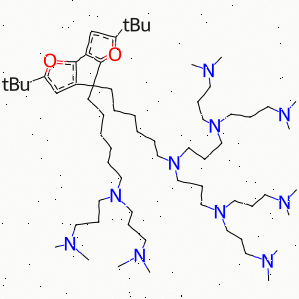 CN(C)CCCN(CCCCCCC1(CCCCCCN(CCCN(CCCN(C)C)CCCN(C)C)CCCN(CCCN(C)C)CCCN(C)C)c2cc(C(C)(C)C)oc2-c2cc(C(C)(C)C)oc21)CCCN(C)C